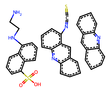 NCCNc1cccc2c(S(=O)(=O)O)cccc12.S=C=Nc1cccc2nc3ccccc3cc12.c1ccc2nc3ccccc3cc2c1